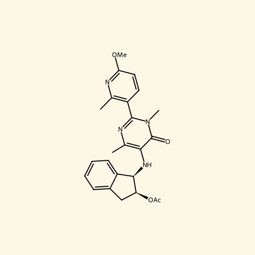 COc1ccc(-c2nc(C)c(N[C@@H]3c4ccccc4C[C@@H]3OC(C)=O)c(=O)n2C)c(C)n1